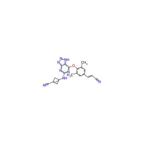 Cc1cc(/C=C/C#N)cc(C)c1Oc1nc(NC23CC(C#N)(C2)C3)nc2nn[nH]c12